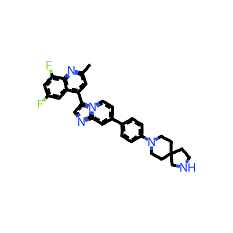 Cc1cc(-c2cnc3cc(-c4ccc(N5CCC6(CCNC6)CC5)cc4)ccn23)c2cc(F)cc(F)c2n1